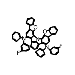 Fc1cccc(N(c2ccccc2)c2cc3c4ccccc4oc3c3c2c2cccc4c5c(N(c6ccccc6)c6cccc(F)c6)cc6c7ccccc7oc6c5n3c24)c1